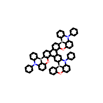 c1ccc(N2c3cc4c(cc3B3c5ccccc5Oc5cccc2c53)c2c3c(ccc2c2ccc5c(c24)Oc2cccc4c2B5c2ccccc2N4c2ccccc2)B2c4ccccc4N(c4ccccc4)c4cccc(c42)O3)cc1